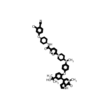 CN(c1ccc(Oc2ccc(C(C)(C)O)cc2-c2cn(C)c(=O)c3[nH]ccc23)cc1)C1CCN(c2ccc(C(=O)N[C@H]3CC[C@H](Oc4ccc(C#N)c(Cl)c4)CC3)nn2)CC1